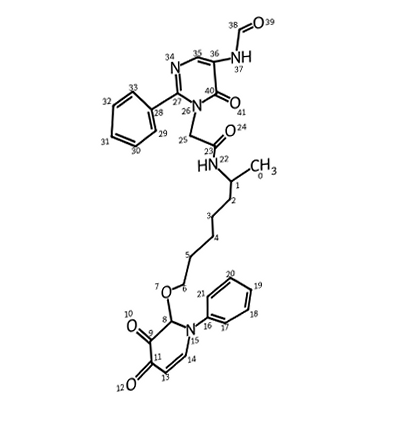 CC(CCCCCOC1C(=O)C(=O)C=CN1c1ccccc1)NC(=O)Cn1c(-c2ccccc2)ncc(NC=O)c1=O